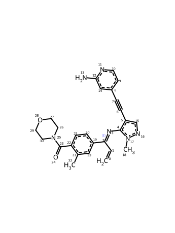 C=C/C(=N\c1c(C#Cc2ccnc(N)c2)cnn1C)c1ccc(C(=O)N2CCOCC2)c(C)c1